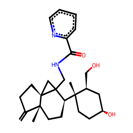 C=C1CC[C@@]23CC2(CNC(=O)c2ccccn2)[C@@H]([C@@]2(C)CC[C@H](O)C[C@@H]2CO)CC[C@]13C